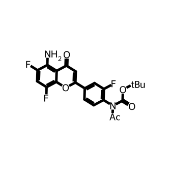 CC(=O)N(C(=O)OC(C)(C)C)c1ccc(-c2cc(=O)c3c(N)c(F)cc(F)c3o2)cc1F